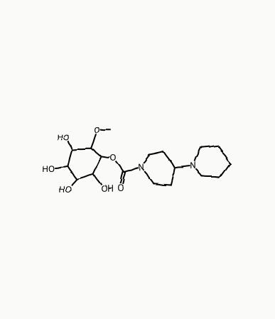 COC1C(O)C(O)C(O)C(O)C1OC(=O)N1CCC(N2CCCCC2)CC1